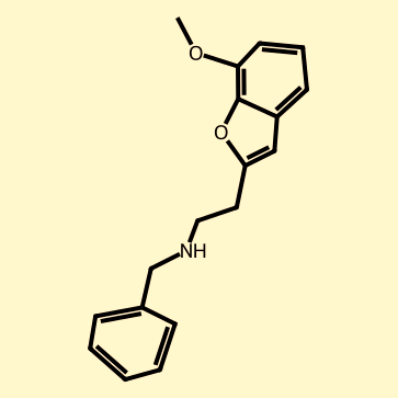 COc1cccc2cc(CCNCc3ccccc3)oc12